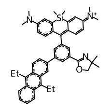 CCc1c2ccccc2c(CC)c2cc(-c3cc(C4=NC(C)(C)CO4)cc(C4=C5C=CC(=[N+](C)C)C=C5[Si](C)(C)c5cc(N(C)C)ccc54)c3)ccc12